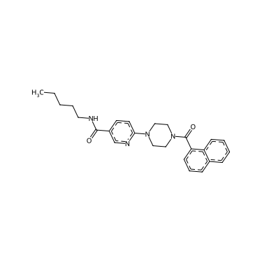 CCCCCNC(=O)c1ccc(N2CCN(C(=O)c3cccc4ccccc34)CC2)nc1